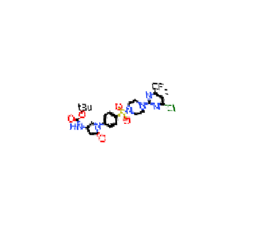 CC(C)(C)OC(=O)NC1CC(=O)N(c2ccc(S(=O)(=O)N3CCN(c4nc(Cl)cc(C(F)(F)F)n4)CC3)cc2)C1